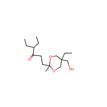 CCC(CC)C(=O)CCC1(C)OCC(CC)(CO)CO1